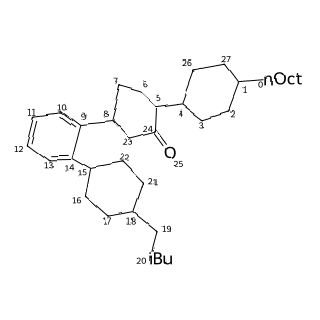 CCCCCCCCC1CCC(C2CCC(c3ccccc3C3CCC(CC(C)CC)CC3)CC2=O)CC1